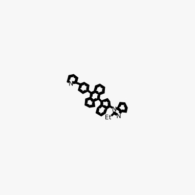 CCc1nc2ccccc2n1-c1ccc(-c2c3ccccc3c(-c3ccc(-c4ccccn4)cc3)c3ccccc23)c2ccccc12